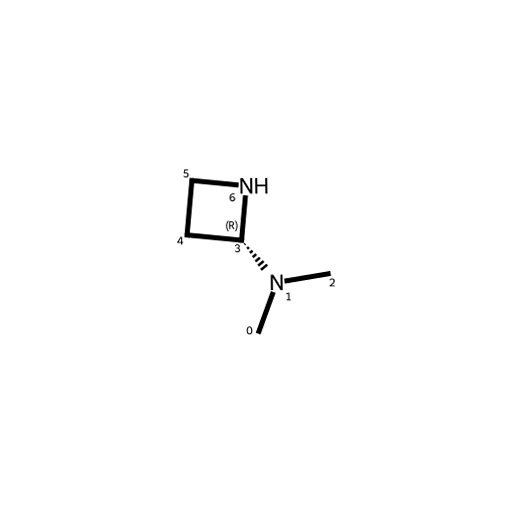 CN(C)[C@@H]1CCN1